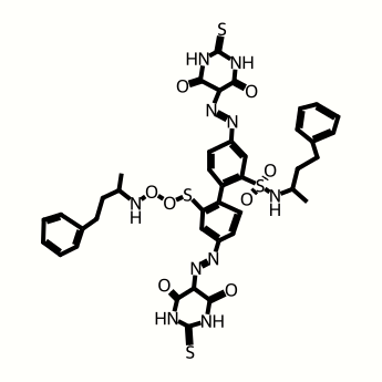 CC(CCc1ccccc1)NOOSc1cc(N=NC2C(=O)NC(=S)NC2=O)ccc1-c1ccc(N=NC2C(=O)NC(=S)NC2=O)cc1S(=O)(=O)NC(C)CCc1ccccc1